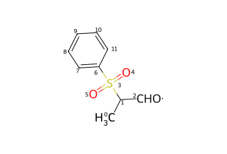 CC([C]=O)S(=O)(=O)c1ccccc1